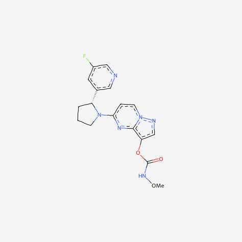 CONC(=O)Oc1cnn2ccc(N3CCC[C@@H]3c3cncc(F)c3)nc12